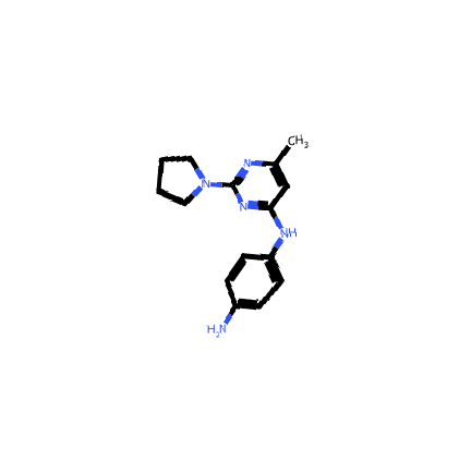 Cc1cc(Nc2ccc(N)cc2)nc(N2CCCC2)n1